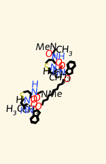 CNCC(=O)N[C@H]1CCS[C@H]2CC(C)(C)[C@@H](C(=O)NC3c4ccccc4C[C@H]3OCCCCCCCCCCO[C@@H]3Cc4ccccc4[C@@H]3NC(=O)[C@H]3N4C(=O)[C@@H](NC(=O)[C@H](C)NC)CCS[C@H]4CC3(C)C)N2C1=O